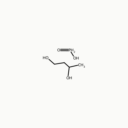 CC(O)CCO.O=[PH2]O